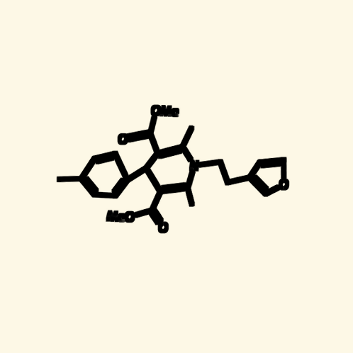 COC(=O)C1=C(C)N(CCc2ccoc2)C(C)=C(C(=O)OC)C1c1ccc(C)cc1